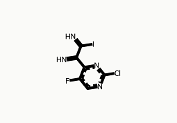 N=C(I)C(=N)c1nc(Cl)ncc1F